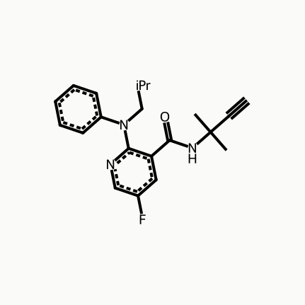 C#CC(C)(C)NC(=O)c1cc(F)cnc1N(CC(C)C)c1ccccc1